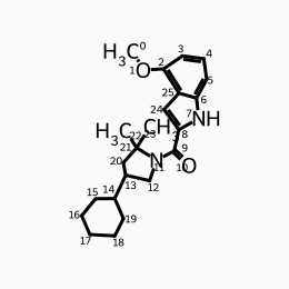 COc1cccc2[nH]c(C(=O)N3CC(C4CCCCC4)CC3(C)C)cc12